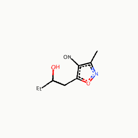 CCC(O)Cc1onc(C)c1N=O